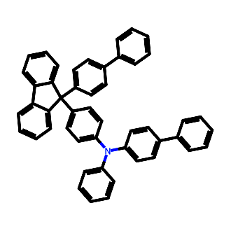 c1ccc(-c2ccc(N(c3ccccc3)c3ccc(C4(c5ccc(-c6ccccc6)cc5)c5ccccc5-c5ccccc54)cc3)cc2)cc1